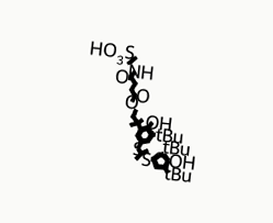 CC(C)(Sc1cc(C(C)(C)C)c(O)c(C(C)(C)C)c1)Sc1cc(C(C)(C)C)c(O)c(C(C)(C)CCOC(=O)CCC(=O)NCCS(=O)(=O)O)c1